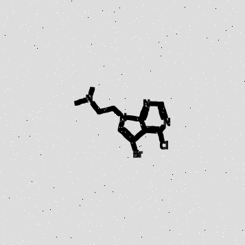 CN(C)CCn1cc(Br)c2c(Cl)ncnc21